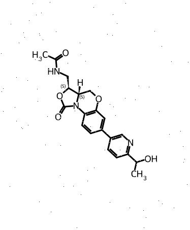 CC(=O)NC[C@@H]1OC(=O)N2c3ccc(-c4ccc(C(C)O)nc4)cc3OC[C@@H]12